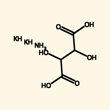 N.O=C(O)C(O)C(O)C(=O)O.[KH].[KH]